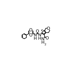 NC(=O)c1c(NC(=O)NC2=COC=C(C3=CC=CCC3)O2)sc2c1CCOC2